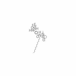 CCCCCCCCCCCCCC(CCCC)(CN1C(=O)CCCC1=O)NC(=O)c1ccc(C(=N)NC(=O)C(F)(F)F)cc1